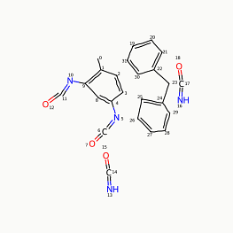 Cc1ccc(N=C=O)cc1N=C=O.N=C=O.N=C=O.c1ccc(Cc2ccccc2)cc1